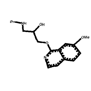 COc1ccc2ccnc(OCC(O)CNC(C)C)c2c1